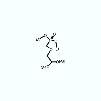 CCOP(=O)(COCC(OC)OC)OCC